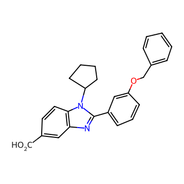 O=C(O)c1ccc2c(c1)nc(-c1cccc(OCc3ccccc3)c1)n2C1CCCC1